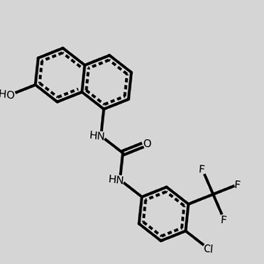 O=C(Nc1ccc(Cl)c(C(F)(F)F)c1)Nc1cccc2ccc(O)cc12